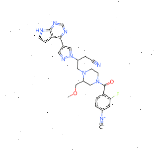 [C-]#[N+]c1ccc(C(=O)N2CCN(CC(CC#N)n3cc(-c4ncnc5[nH]ccc45)cn3)C(COC)C2)c(F)c1